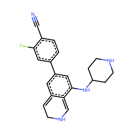 N#Cc1ccc(-c2cc(NC3CCNCC3)c3c(c2)=CCNC=3)cc1F